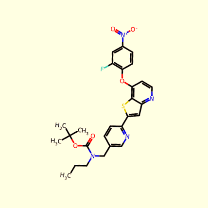 CCCN(Cc1ccc(-c2cc3nccc(Oc4ccc([N+](=O)[O-])cc4F)c3s2)nc1)C(=O)OC(C)(C)C